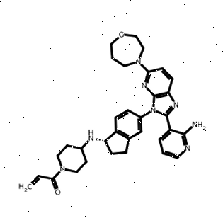 C=CC(=O)N1CCC(N[C@H]2CCc3cc(-n4c(-c5cccnc5N)nc5ccc(N6CCCOCC6)nc54)ccc32)CC1